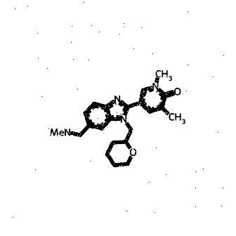 CNCc1ccc2nc(-c3cc(C)c(=O)n(C)c3)n(CC3CCCCO3)c2c1